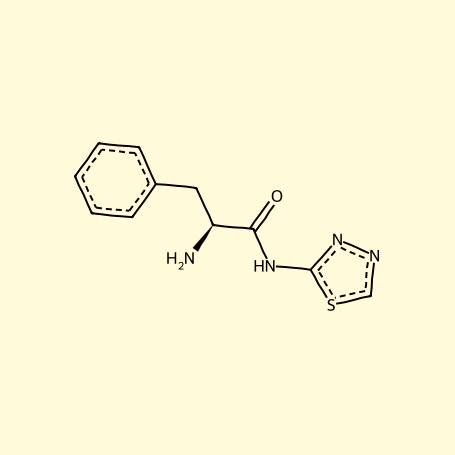 N[C@@H](Cc1ccccc1)C(=O)Nc1nncs1